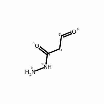 NNC(=O)C[C]=O